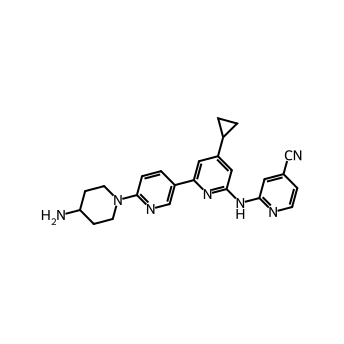 N#Cc1ccnc(Nc2cc(C3CC3)cc(-c3ccc(N4CCC(N)CC4)nc3)n2)c1